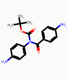 CC(C)(C)OC(=O)N(C(=O)c1ccc(N)cc1)c1ccc(N)cc1